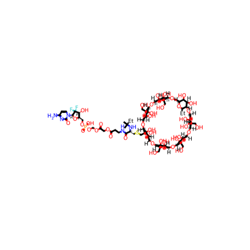 CCC1O[C@@H]2O[C@@H]3C(CO)O[C@H](O[C@@H]4C(CO)O[C@@H](O[C@H]5C(CSC[C@@H](NC(C)(C)CC)C(=O)NCCC(=O)OCC(=O)OCOP(=O)(O)OC[C@H]6O[C@@H](n7ccc(N)nc7=O)C(F)(F)[C@@H]6O)O[C@@H](O[C@H]6C(CO)O[C@H](O[C@@H]7C(CO)O[C@H](O[C@@H]8C(CO)O[C@H](O[C@H]1[C@H](O)C2O)C(O)[C@H]8O)[C@@H](O)C7O)[C@@H](O)C6O)[C@@H](O)C5O)[C@@H](O)C4O)C(O)[C@H]3O